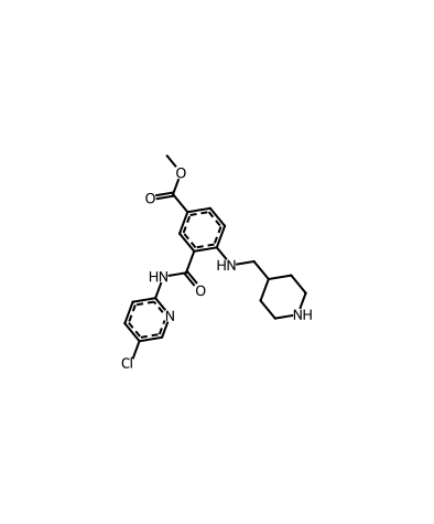 COC(=O)c1ccc(NCC2CCNCC2)c(C(=O)Nc2ccc(Cl)cn2)c1